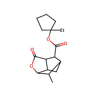 CCC1(OC(=O)C2C3CC4C(OC(=O)C42)C3C)CCCC1